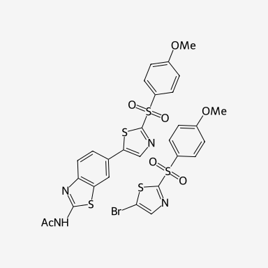 COc1ccc(S(=O)(=O)c2ncc(-c3ccc4nc(NC(C)=O)sc4c3)s2)cc1.COc1ccc(S(=O)(=O)c2ncc(Br)s2)cc1